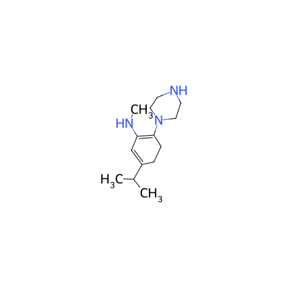 CNC1=C(N2CCNCC2)CCC(C(C)C)=C1